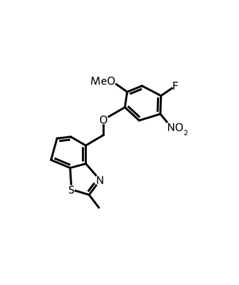 COc1cc(F)c([N+](=O)[O-])cc1OCc1cccc2sc(C)nc12